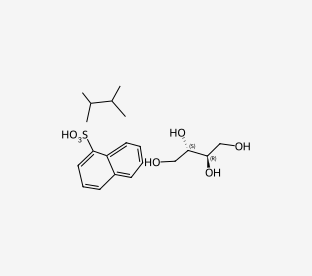 CC(C)C(C)C.O=S(=O)(O)c1cccc2ccccc12.OC[C@@H](O)[C@@H](O)CO